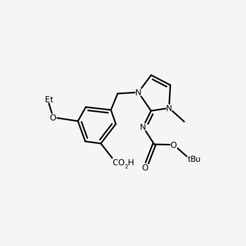 CCOc1cc(Cn2ccn(C)c2=NC(=O)OC(C)(C)C)cc(C(=O)O)c1